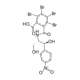 O=C(O)c1c(Br)c(Br)c(Br)c(Br)c1C(=O)N[C@@H](CO)[C@@H](O)c1ccc([N+](=O)[O-])cc1